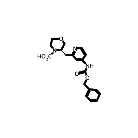 O=C(Nc1ccnc(C[C@H]2COCCN2C(=O)O)c1)OCc1ccccc1